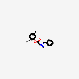 CC(C)[C@@H]1CC[C@@H](C)C[C@H]1OC(=O)CN(C)Cc1ccccc1